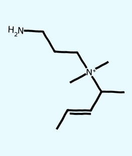 CC=CC(C)[N+](C)(C)CCCN